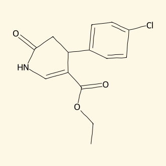 CCOC(=O)C1=CNC(=O)CC1c1ccc(Cl)cc1